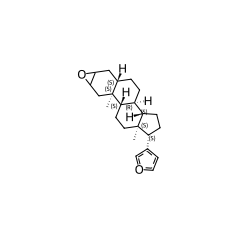 C[C@]12CC3OC3C[C@@H]1CC[C@@H]1[C@@H]2CC[C@]2(C)[C@@H](c3ccoc3)CC[C@@H]12